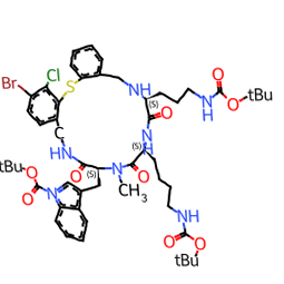 CN1C(=O)[C@H](CCCCNC(=O)OC(C)(C)C)NC(=O)[C@H](CCCNC(=O)OC(C)(C)C)NCc2ccccc2Sc2c(ccc(Br)c2Cl)CNC(=O)[C@@H]1Cc1cn(C(=O)OC(C)(C)C)c2ccccc12